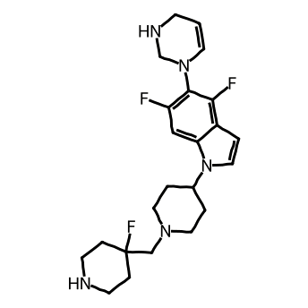 Fc1cc2c(ccn2C2CCN(CC3(F)CCNCC3)CC2)c(F)c1N1C=CCNC1